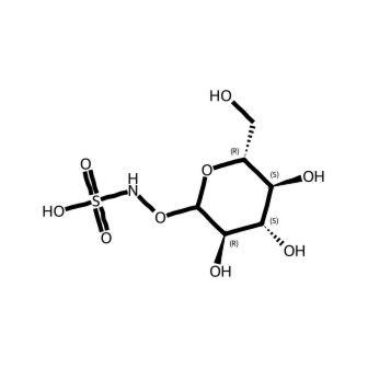 O=S(=O)(O)NOC1O[C@H](CO)[C@@H](O)[C@H](O)[C@H]1O